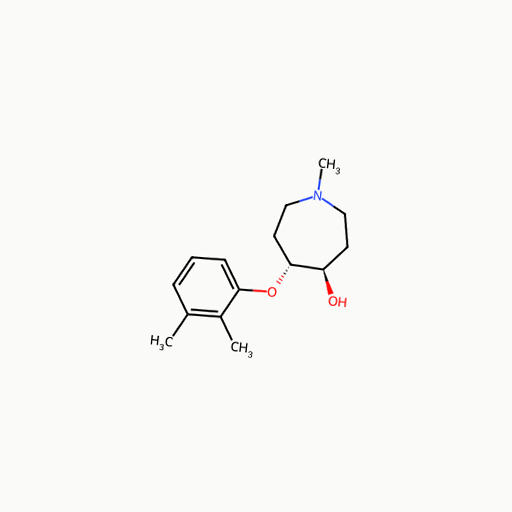 Cc1cccc(O[C@@H]2CCN(C)CC[C@H]2O)c1C